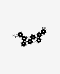 Cc1cccc(-c2ccc3c(c2)c2ccccc2n3-c2ccc(C#N)c(-c3cc(-n4c5ccccc5c5cc(-c6cccc(C)c6)ccc54)ccc3C#N)c2)c1